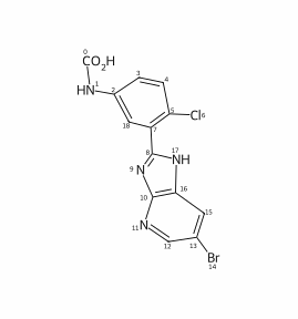 O=C(O)Nc1ccc(Cl)c(-c2nc3ncc(Br)cc3[nH]2)c1